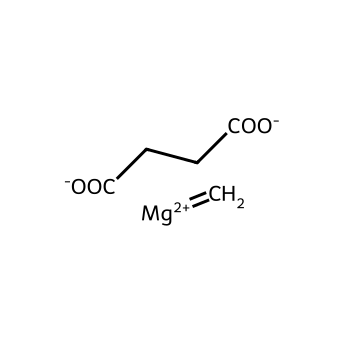 O=C([O-])CCC(=O)[O-].[CH2]=[Mg+2]